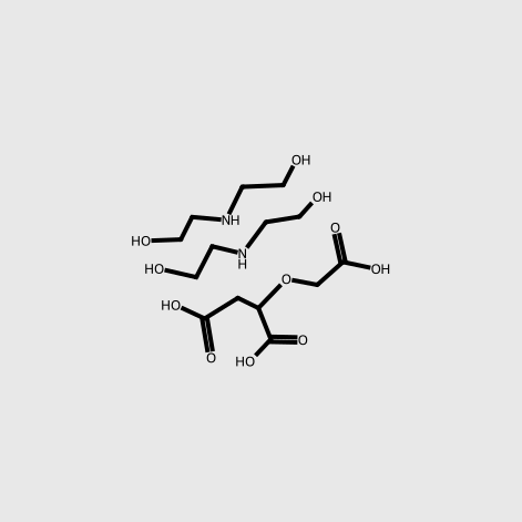 O=C(O)COC(CC(=O)O)C(=O)O.OCCNCCO.OCCNCCO